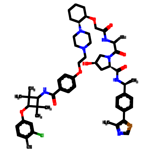 Cc1ncsc1-c1ccc([C@H](C)NC(=O)[C@@H]2C[C@@H](O)CN2C(=O)C(NC(=O)CO[C@@H]2CCCC[C@H]2N2CCN(CCOc3ccc(C(=O)NC4C(C)(C)C(Oc5ccc(C#N)c(Cl)c5)C4(C)C)cc3)CC2)C(C)(C)C)cc1